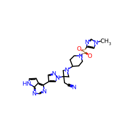 Cn1cnc(S(=O)(=O)N2CCC(N3CC(CC#N)(n4cc(-c5ncnc6[nH]ccc56)cn4)C3)CC2)c1